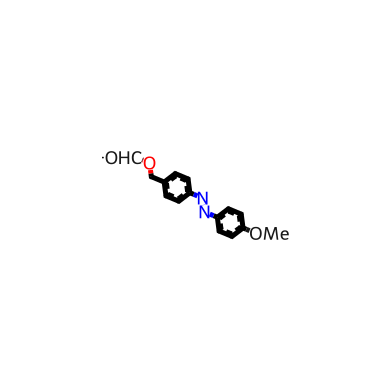 COc1ccc(N=Nc2ccc(CO[C]=O)cc2)cc1